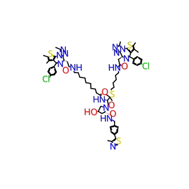 Cc1ncsc1-c1ccc(CNC(=O)[C@@H]2C[C@@H](O)CN2C(=O)[C@@H](NC(=O)CCCCCCCCCNC(=O)C[C@@H]2N=C(c3ccc(Cl)cc3)c3c(sc(C)c3C)-n3c(C)nnc32)C(C)(C)SCCCCCCNC(=O)C[C@@H]2N=C(c3ccc(Cl)cc3)c3c(sc(C)c3C)-n3c(C)nnc32)cc1